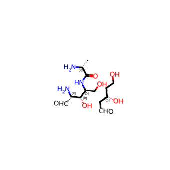 C[C@@H](N)C(=O)N[C@@H](CO)[C@H](O)[C@@H](N)C=O.O=CC[C@@H](O)CCO